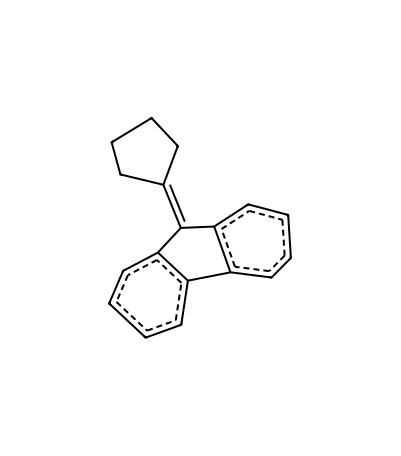 c1ccc2c(c1)C(=C1CCCC1)c1ccccc1-2